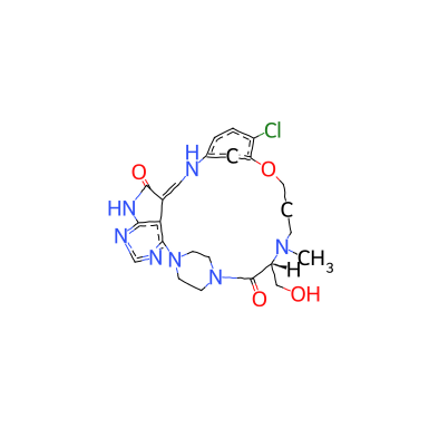 CN1CCCOc2cc(ccc2Cl)N/C=C2\C(=O)Nc3ncnc(c32)N2CCN(CC2)C(=O)[C@H]1CO